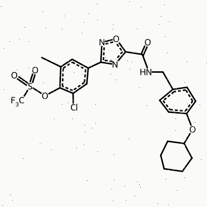 Cc1cc(-c2noc(C(=O)NCc3ccc(OC4CCCCC4)cc3)n2)cc(Cl)c1OS(=O)(=O)C(F)(F)F